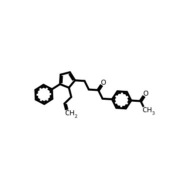 C=CCC1C(CCC(=O)Cc2ccc(C(C)=O)cc2)=CC=C1c1ccccc1